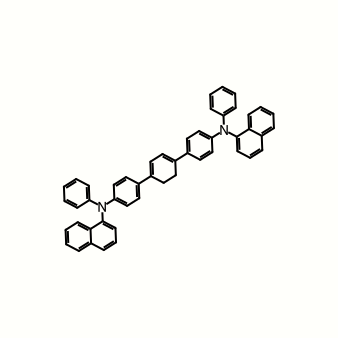 C1=C(c2ccc(N(c3ccccc3)c3cccc4ccccc34)cc2)CCC(c2ccc(N(c3ccccc3)c3cccc4ccccc34)cc2)=C1